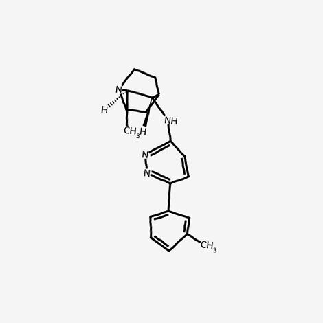 Cc1cccc(-c2ccc(N[C@H]3C4CCN(CC4)[C@@H]3C)nn2)c1